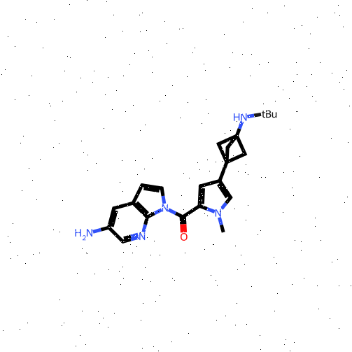 Cn1cc(C23CC(NC(C)(C)C)(C2)C3)cc1C(=O)n1ccc2cc(N)cnc21